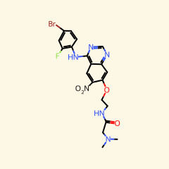 CN(C)CC(=O)NCCOc1cc2ncnc(Nc3ccc(Br)cc3F)c2cc1[N+](=O)[O-]